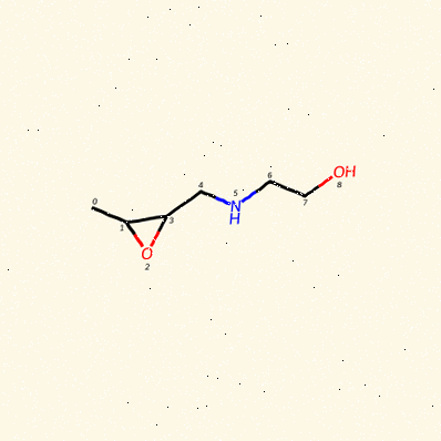 CC1OC1CNCCO